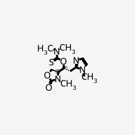 CN(C)C(=S)O[C@H](Cc1nccn1C)[C@@H]1COC(=O)N1C